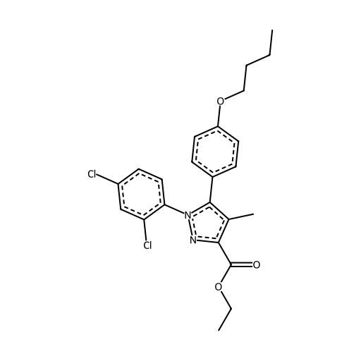 CCCCOc1ccc(-c2c(C)c(C(=O)OCC)nn2-c2ccc(Cl)cc2Cl)cc1